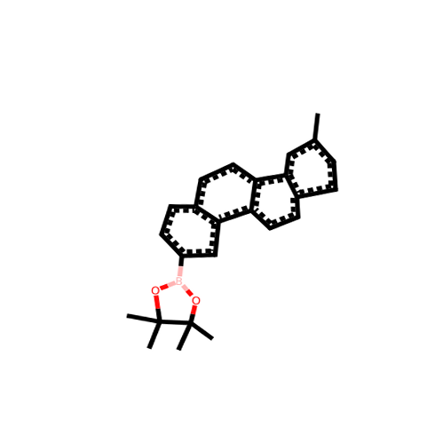 Cc1ccc2ccc3c4cc(B5OC(C)(C)C(C)(C)O5)ccc4ccc3c2c1